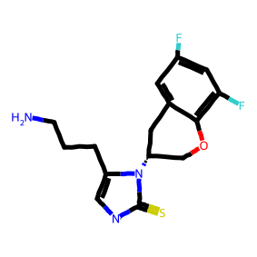 NCCCC1=C[N]C(=S)N1[C@H]1COc2c(F)cc(F)cc2C1